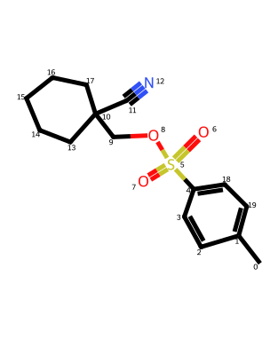 Cc1ccc(S(=O)(=O)OCC2(C#N)CCCCC2)cc1